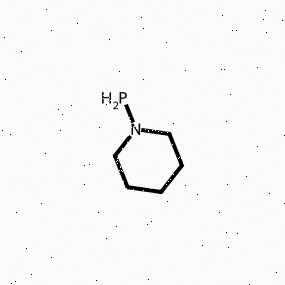 PN1CCCCC1